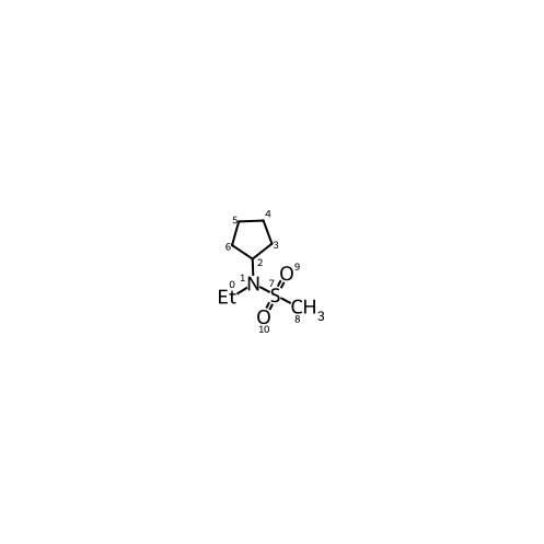 CCN(C1CCCC1)S(C)(=O)=O